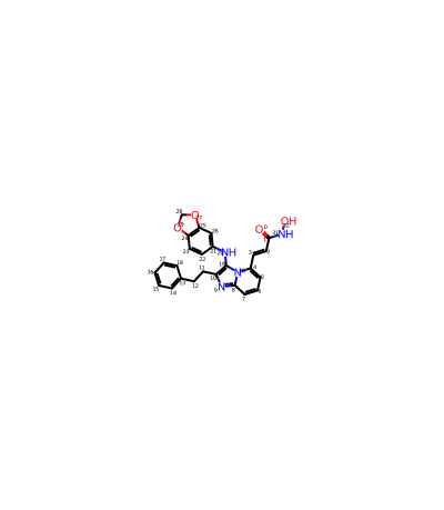 O=C(/C=C/c1cccc2nc(CCc3ccccc3)c(Nc3ccc4c(c3)OCO4)n12)NO